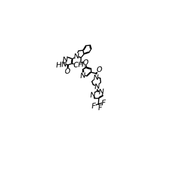 Cc1c(N2Cc3ccccc3C2COc2cncc(C(=O)N3CCN(c4ncc(C(F)(F)F)cn4)CC3)c2)cn[nH]c1=O